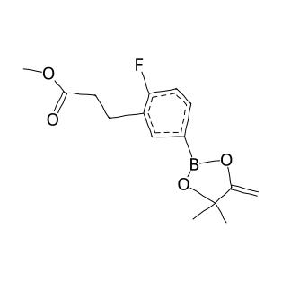 C=C1OB(c2ccc(F)c(CCC(=O)OC)c2)OC1(C)C